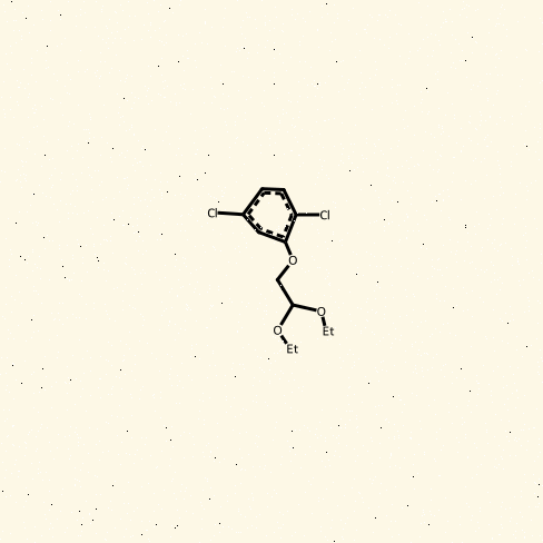 CCOC(COc1cc(Cl)ccc1Cl)OCC